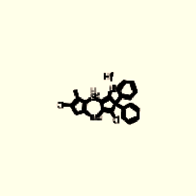 CC1=C(Cl)CC(C(C)(C)C)=C1[SiH2]C1=C(C(C)(C)C)C(c2ccccc2)(c2ccccc2)C(Cl)=C1C.[Hf]